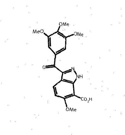 COc1cc(C(=O)c2n[nH]c3c(C(=O)O)c(OC)ccc23)cc(OC)c1OC